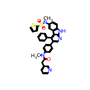 CN(C(=O)Cc1cccnc1)c1ccc(-c2cnc3[nH]c4ccc(N(C)S(=O)(=O)c5cccs5)cc4c3c2-c2ccccc2)cc1